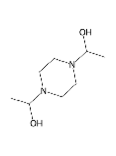 CC(O)N1CCN(C(C)O)CC1